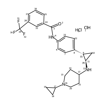 Cl.Cl.O=C(Nc1ccc([C@@H]2C[C@H]2NC2CCN(C3CC3)CC2)cc1)c1cccc(C(F)(F)F)c1